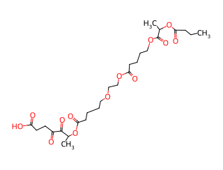 CCCC(=O)OC(C)C(=O)OCCCCC(=O)OCCOCCCCC(=O)OC(C)C(=O)C(=O)CCC(=O)O